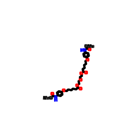 COC(=O)Nc1ccc(OCCCCCC(=O)OCCOCCOC(=O)CCCCCOc2ccc(NC(=O)OC)cc2)cc1